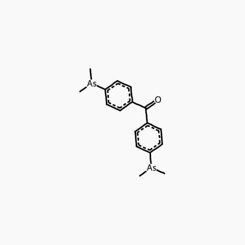 C[As](C)c1ccc(C(=O)c2ccc([As](C)C)cc2)cc1